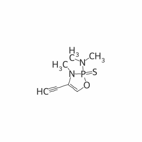 C#CC1=COP(=S)(N(C)C)N1C